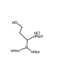 CCCCCCN(CCCCCC)C(CCO)CCCCC.Cl